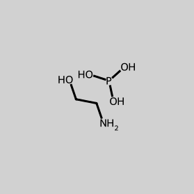 NCCO.OP(O)O